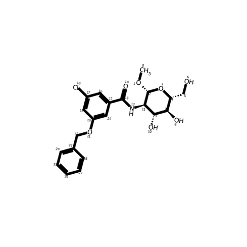 CO[C@@H]1O[C@H](CO)[C@@H](O)[C@H](O)[C@H]1NC(=O)c1cc(Cl)cc(OCc2ccccc2)c1